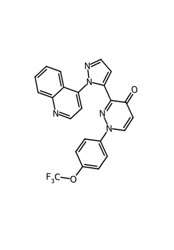 O=c1ccn(-c2ccc(OC(F)(F)F)cc2)nc1-c1ccnn1-c1ccnc2ccccc12